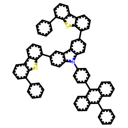 c1ccc(-c2c3ccccc3c(-c3ccc(-n4c5ccc(-c6cccc7c6sc6c(-c8ccccc8)cccc67)cc5c5cc(-c6cccc7c6sc6c(-c8ccccc8)cccc67)ccc54)cc3)c3ccccc23)cc1